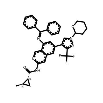 C[C@@H]1C[C@H]1C(=O)Nc1cc2cc(-c3cn(C4CCCCO4)nc3C(F)(F)F)cc(N=C(c3ccccc3)c3ccccc3)c2cn1